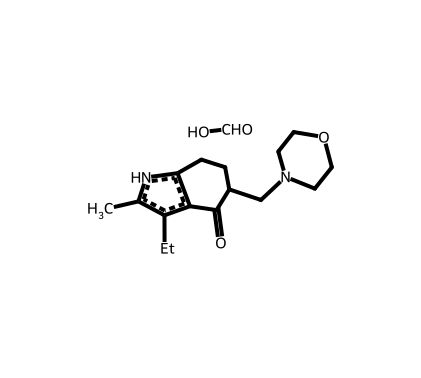 CCc1c(C)[nH]c2c1C(=O)C(CN1CCOCC1)CC2.O=CO